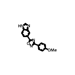 COc1ccc(-c2noc(-c3ccc4[nH]cnc4c3)n2)cc1